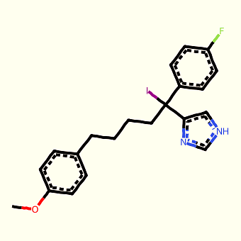 COc1ccc(CCCCC(I)(c2ccc(F)cc2)c2c[nH]cn2)cc1